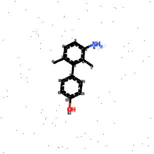 Cc1ccc(N)c(C)c1-c1ccc(O)cc1